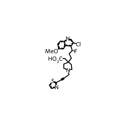 COc1ccc2ncc(Cl)c([C@@H](F)CCC3(CC(=O)O)CCN(CC#Cc4nccs4)CC3)c2c1